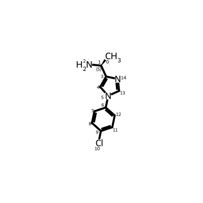 C[C@H](N)c1cn(-c2ccc(Cl)cc2)cn1